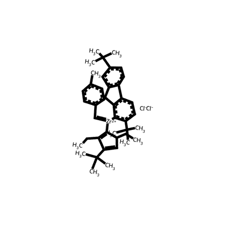 CCC1=[C](/[Zr+2](=[CH]/c2ccc(C)cc2)[c]2c(C(C)(C)C)ccc3c2Cc2cc(C(C)(C)C)ccc2-3)C(CC)C=C1C(C)(C)C.[Cl-].[Cl-]